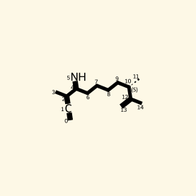 C=C=C(C)C(=N)CCCC[C@H](C)C(=C)C